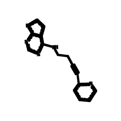 C(#Cc1ccccn1)CCNc1ncnc2sccc12